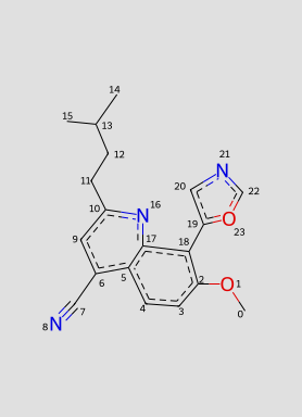 COc1ccc2c(C#N)cc(CCC(C)C)nc2c1-c1cnco1